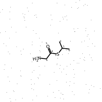 CC(C)SC(=O)CN